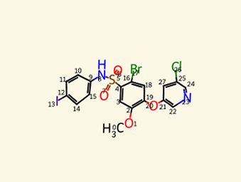 COc1cc(S(=O)(=O)Nc2ccc(I)cc2)c(Br)cc1Oc1cncc(Cl)c1